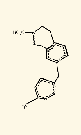 O=C(O)N1CCc2ccc(Cc3ccc(C(F)(F)F)nc3)cc2C1